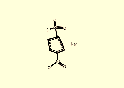 O=[N+]([O-])c1ccc(S(=O)(=O)[S-])cc1.[Na+]